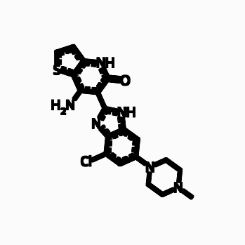 CN1CCN(c2cc(Cl)c3nc(-c4c(N)c5sccc5[nH]c4=O)[nH]c3c2)CC1